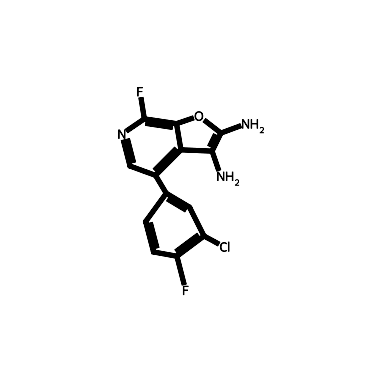 Nc1oc2c(F)ncc(-c3ccc(F)c(Cl)c3)c2c1N